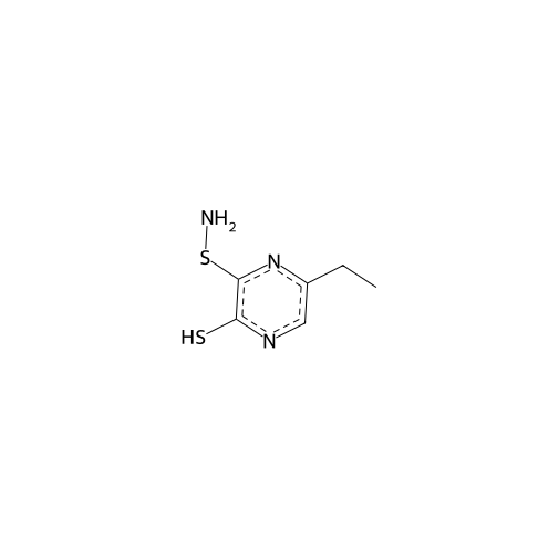 CCc1cnc(S)c(SN)n1